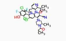 C=CC(=O)N1CCN(c2c(C#N)c(=O)n(-c3c(C)ccnc3C(C)C)c3nc(-c4c(F)c(Cl)c(F)c(O)c4Cl)c(Cl)cc23)C[C@H]1C